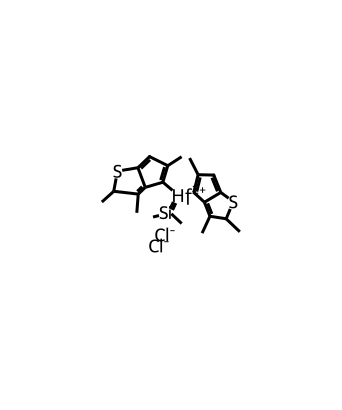 CC1=[C]([Hf+2]([C]2=C(C)C=C3SC(C)C(C)=C32)=[Si](C)C)C2=C(C)C(C)SC2=C1.[Cl-].[Cl-]